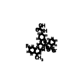 Cc1cc(=O)n(CC(NS(=O)(=O)c2ccccc2[N+](=O)[O-])C2CCC(NC(=O)O)CC2)c2cc(F)ccc12